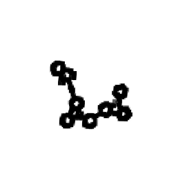 C(#Cc1ncc2ccccc2n1)c1ccc2c(c1)c1ccccc1n2-c1cccc(-c2ccc3c(c2)c2ccccc2n3-c2ccccc2)c1